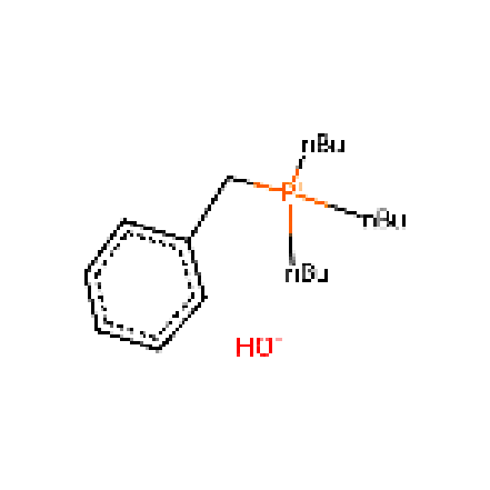 CCCC[P+](CCCC)(CCCC)Cc1ccccc1.[OH-]